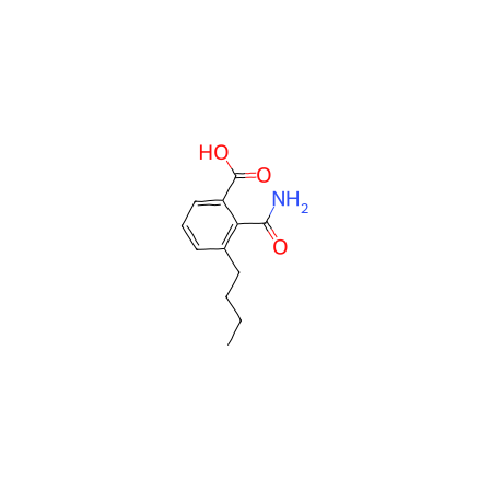 CCCCc1cccc(C(=O)O)c1C(N)=O